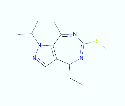 CCC1N=C(SC)N=C(C)c2c1cnn2C(C)C